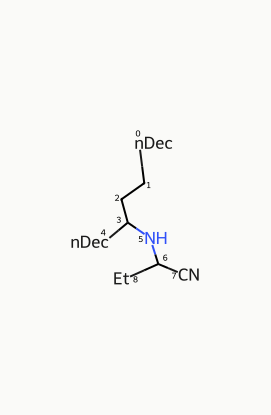 CCCCCCCCCCCCC(CCCCCCCCCC)NC(C#N)CC